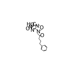 CN1COCN(CC(=O)CCCc2ccccc2)C1=N[N+](=O)[O-]